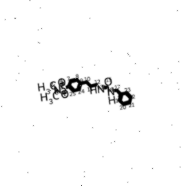 CN(C)S(=O)(=O)c1ccc(CCCNC(=O)NCc2ccccc2)cc1